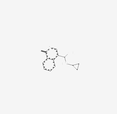 CC(NC1CC1)c1c[nH]c(=O)c2ccccc12